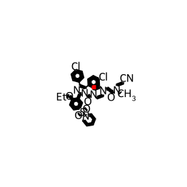 CCOc1ccc(S(=O)(=O)N2CCCCC2)cc1C1=N[C@@H](c2ccc(Cl)cc2)[C@@H](c2ccc(Cl)cc2)N1C(=O)N1CCN(CC(=O)N(C)CCC#N)CC1